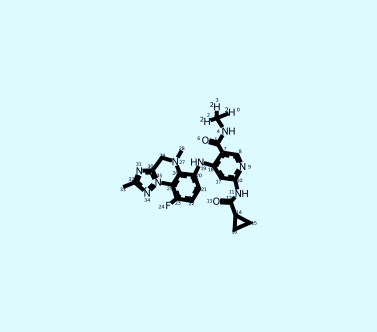 [2H]C([2H])([2H])NC(=O)c1cnc(NC(=O)C2CC2)cc1Nc1ccc(F)c2c1N(C)Cc1nc(C)nn1-2